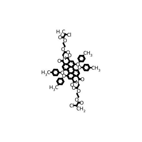 C=C(Cl)C(=O)OCCOC(=O)CN1C(=O)c2cc(Oc3ccc(C)cc3)c3c4c(Oc5ccc(C)cc5)cc5c6c(cc(Oc7ccc(C)cc7)c(c7c(Oc8ccc(C)cc8)cc(c2c37)C1=O)c64)C(=O)N(CC(=O)OCCOC(=O)C(=C)Cl)C5=O